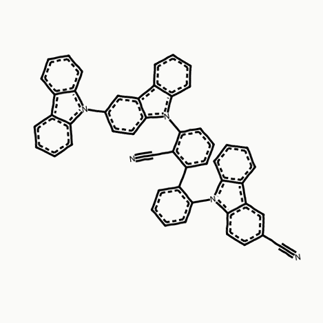 N#Cc1ccc2c(c1)c1ccccc1n2-c1ccccc1-c1cccc(-n2c3ccccc3c3cc(-n4c5ccccc5c5ccccc54)ccc32)c1C#N